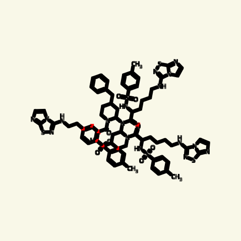 Cc1ccc(S(=O)(=O)NC(CCCCNc2nsc3nccn23)C(=O)N2CCC(Cc3ccccc3)CC2N(C(=O)C(CCCCNc2nsc3nccn23)NS(=O)(=O)c2ccc(C)cc2)C2CC(Cc3ccccc3)CCN2C(=O)C(CCCCNc2nsc3nccn23)NS(=O)(=O)c2ccc(C)cc2)cc1